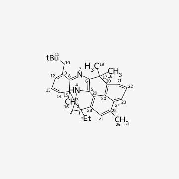 CCC12CC13NC1=C(N=C4C(CC(C)(C)C)=CC=CC43C)C(C)(C)c3cccc4c(C)cc2c1c34